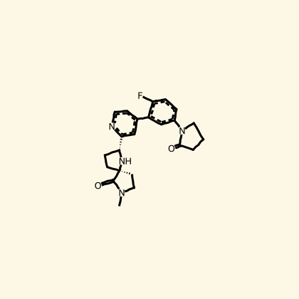 CN1CC[C@@]2(CC[C@H](c3cc(-c4cc(N5CCCC5=O)ccc4F)ccn3)N2)C1=O